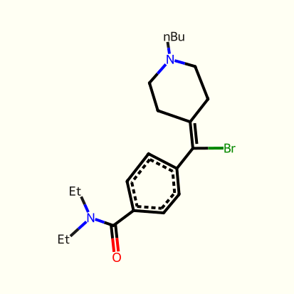 CCCCN1CCC(=C(Br)c2ccc(C(=O)N(CC)CC)cc2)CC1